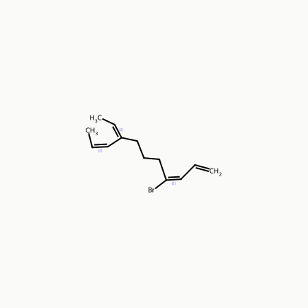 C=C/C=C(/Br)CCCC(/C=C\C)=C/C